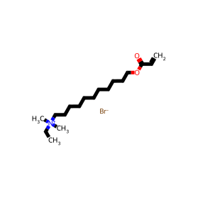 C=CC(=O)OCCCCCCCCCCC[N+](C)(C)CC.[Br-]